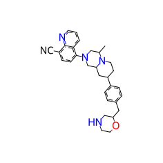 CC1CN(c2ccc(C#N)c3ncccc23)CC2CC(c3ccc(CC4CNCCO4)cc3)CCN12